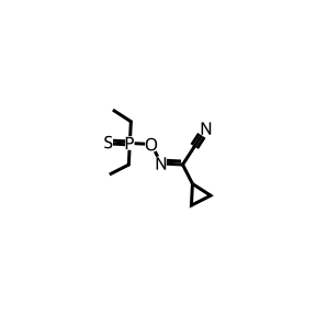 CCP(=S)(CC)ON=C(C#N)C1CC1